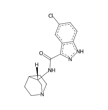 O=C(N[C@@H]1CN2CCC1CC2)c1n[nH]c2ccc(Cl)cc12